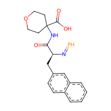 O=C(NC1(C(=O)O)CCOCC1)[C@H](Cc1ccc2ccccc2c1)N=P